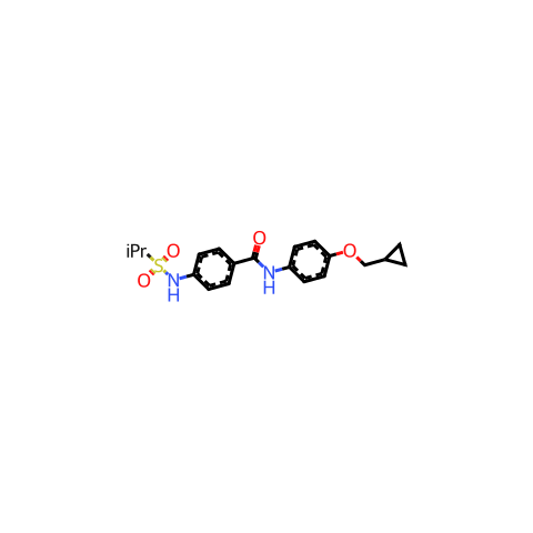 CC(C)S(=O)(=O)Nc1ccc(C(=O)Nc2ccc(OCC3CC3)cc2)cc1